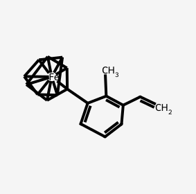 C=Cc1cccc([C]23[CH]4[CH]5[CH]6[CH]2[Fe]56432789[CH]3[CH]2[CH]7[CH]8[CH]39)c1C